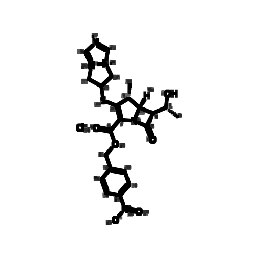 C[C@@H](O)[C@H]1C(=O)N2C(C(=O)OCc3ccc([N+](=O)[O-])cc3)=C(SC3Cn4cnc[n+]4C3)[C@H](C)[C@H]12.[Cl-]